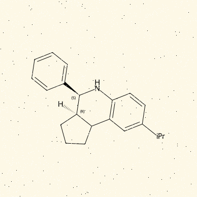 CC(C)c1ccc2c(c1)C1CCC[C@H]1[C@@H](c1ccccc1)N2